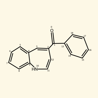 O=C(C1=Cc2ccccc2NC=C1)c1ccccc1